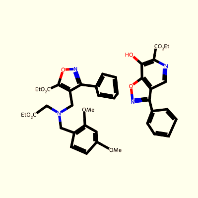 CCOC(=O)CN(Cc1ccc(OC)cc1OC)Cc1c(-c2ccccc2)noc1C(=O)OCC.CCOC(=O)c1ncc2c(-c3ccccc3)noc2c1O